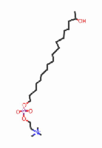 CC(O)CCCCCCCCCCCCCCCCOP(=O)([O-])OCC[N+](C)(C)C